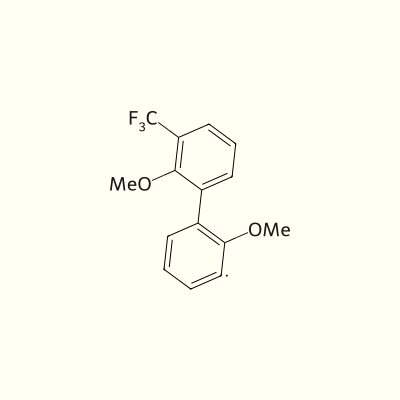 COc1[c]cccc1-c1cccc(C(F)(F)F)c1OC